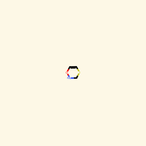 [C]1NOC=CS1